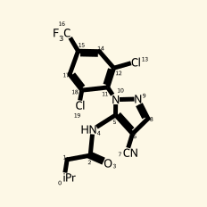 CC(C)CC(=O)Nc1c(C#N)cnn1-c1c(Cl)cc(C(F)(F)F)cc1Cl